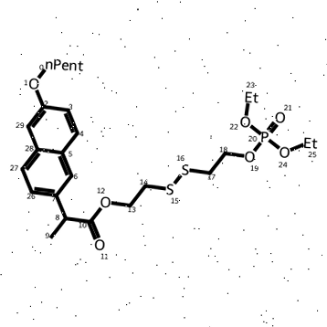 CCCCCOc1ccc2cc(C(C)C(=O)OCCSSCCOP(=O)(OCC)OCC)ccc2c1